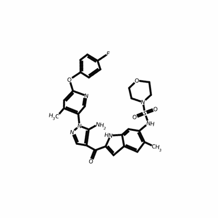 Cc1cc2cc(C(=O)c3cnn(-c4cnc(Oc5ccc(F)cc5)cc4C)c3N)[nH]c2cc1NS(=O)(=O)N1CCOCC1